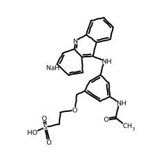 CC(=O)Nc1cc(COCCS(=O)(=O)O)cc(Nc2c3ccccc3nc3ccccc23)c1.[NaH]